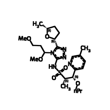 CCCO[C@@H](c1ccc(C)cn1)[C@H](C)S(=O)(=O)Nc1nnc([C@H]2CC[C@@H](C)O2)n1C(CCOC)OC